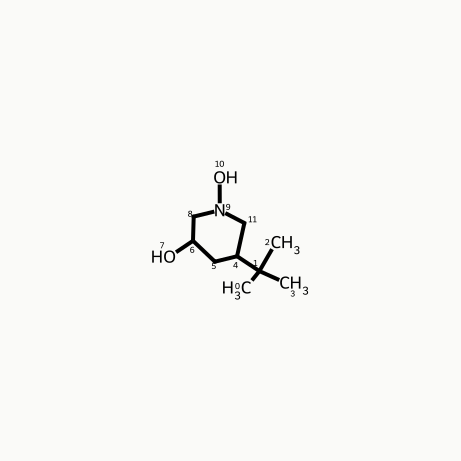 CC(C)(C)C1CC(O)CN(O)C1